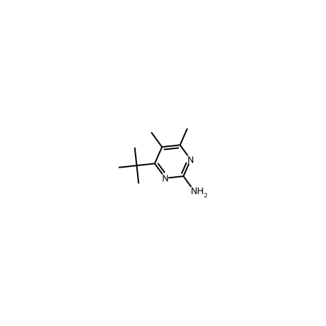 Cc1nc(N)nc(C(C)(C)C)c1C